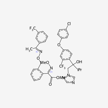 CC(C)C(O)(Cn1cncn1)c1ccc(Oc2ccc(Cl)cc2)cc1C(F)(F)F.CO/N=C(/C(=O)OC)c1ccccc1CO/N=C(\C)c1cccc(C(F)(F)F)c1